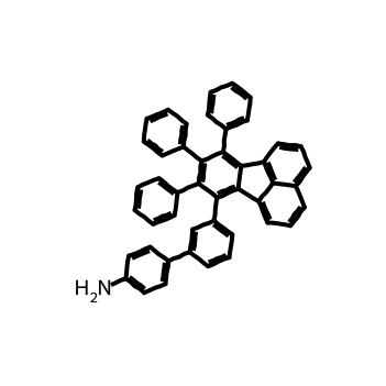 Nc1ccc(-c2cccc(-c3c(-c4ccccc4)c(-c4ccccc4)c(-c4ccccc4)c4c3-c3cccc5cccc-4c35)c2)cc1